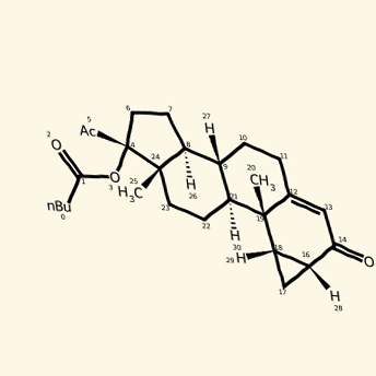 CCCCC(=O)O[C@]1(C(C)=O)CC[C@H]2[C@@H]3CCC4=CC(=O)[C@@H]5C[C@@H]5[C@]4(C)[C@H]3CC[C@@]21C